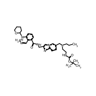 CCCN(CCNC(=O)OC(C)(C)C)Cc1ccc2nc(CNC(=O)c3cccc(NC4CCCCO4)c3/C=N\C)cn2c1